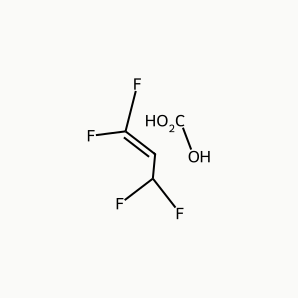 FC(F)=CC(F)F.O=C(O)O